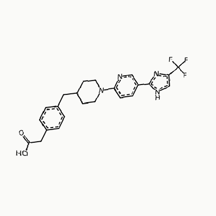 O=C(O)Cc1ccc(CC2CCN(c3ccc(-c4nc(C(F)(F)F)c[nH]4)cn3)CC2)cc1